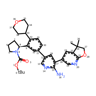 CC(C)(C)OC(=O)N1CCC[C@H]1c1cc(-c2cnc(N)c(-c3cnc4c(c3)C(C)(C)CO4)c2)ccc1C1CCOCC1